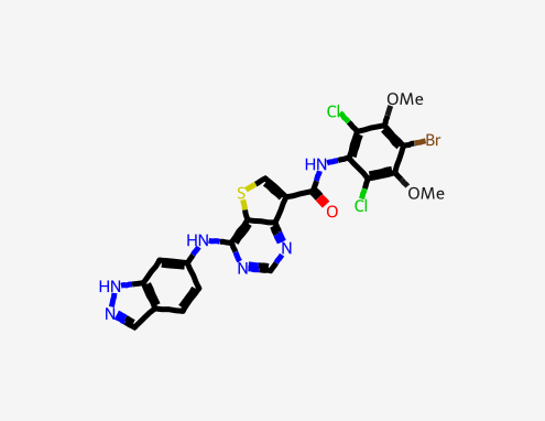 COc1c(Cl)c(NC(=O)c2csc3c(Nc4ccc5cn[nH]c5c4)ncnc23)c(Cl)c(OC)c1Br